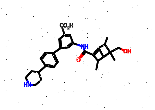 CC1C(C(=O)Nc2cc(C(=O)O)cc(-c3ccc(C4CCNCC4)cc3)c2)=C2C(C)C(C)(CO)C21